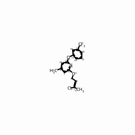 C/C(Cl)=C/COc1cc(C)cc(Oc2cccc(C(F)(F)F)c2)n1